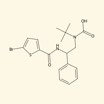 CC(C)(C)N(CC(NC(=O)c1ccc(Br)s1)c1ccccc1)C(=O)O